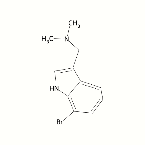 CN(C)Cc1c[nH]c2c(Br)cccc12